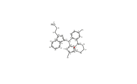 Cc1ccc([C](c2ccc(C)o2)n2cc(CCO)c3ccccc32)c(N2CCCCC2)c1